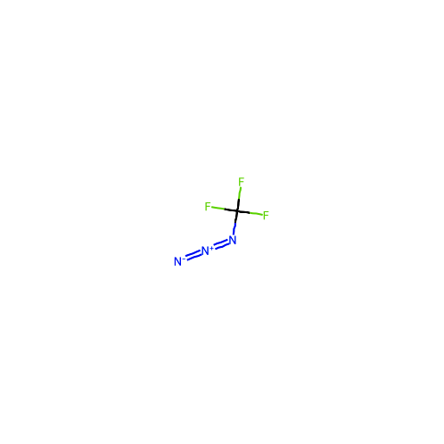 [N-]=[N+]=NC(F)(F)F